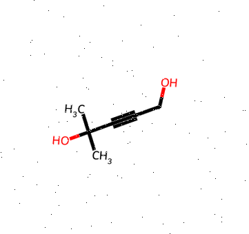 CC(C)(O)C#CCO